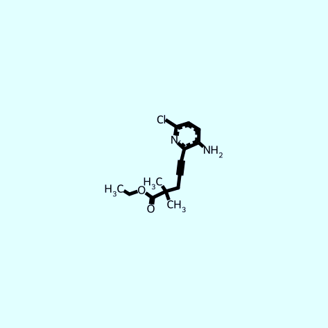 CCOC(=O)C(C)(C)CC#Cc1nc(Cl)ccc1N